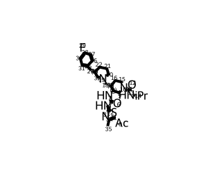 CC(=O)c1sc(NC(=O)N[C@H]2CN(C(=O)NC(C)C)CC[C@H]2CN2CCC[C@@H](Cc3ccc(F)cc3)C2)nc1C